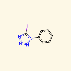 Ic1nnnn1-c1ccccc1